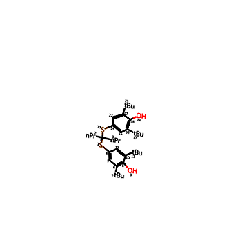 CCCC(CCC)(Sc1cc(C(C)(C)C)c(O)c(C(C)(C)C)c1)Sc1cc(C(C)(C)C)c(O)c(C(C)(C)C)c1